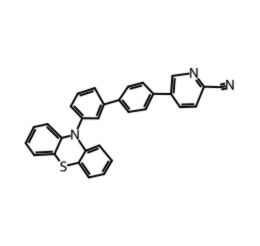 N#Cc1ccc(-c2ccc(-c3cccc(N4c5ccccc5Sc5ccccc54)c3)cc2)cn1